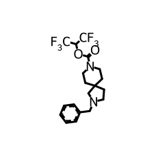 O=C(OC(C(F)(F)F)C(F)(F)F)N1CCC2(CCN(Cc3ccccc3)C2)CC1